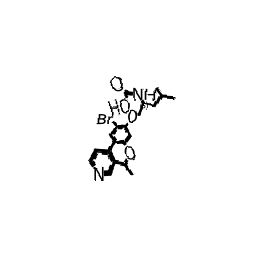 CC(C)C[C@@H](COc1cc2c(cc1Br)-c1ccncc1C(C)O2)NC(=O)O